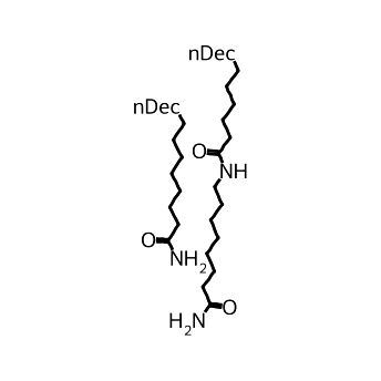 CCCCCCCCCCCCCCCC(=O)NCCCCCCCC(N)=O.CCCCCCCCCCCCCCCCCC(N)=O